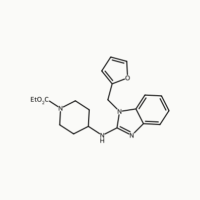 CCOC(=O)N1CCC(Nc2nc3ccccc3n2Cc2ccco2)CC1